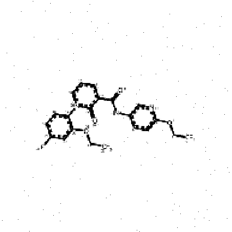 O=C(Nc1ccc(OCC(F)(F)F)nc1)c1cccn(-c2ccc(F)cc2OCC(F)(F)F)c1=O